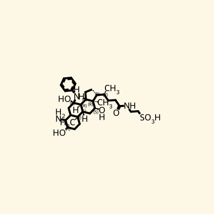 C[C@H](CCC(=O)NCCS(=O)(=O)O)[C@H]1CC[C@H]2[C@H]3[C@H](C[C@H](O)[C@]12C)[C@@]1(C)CC[C@@H](O)C(N)C1C[C@]3(O)Nc1ccccc1